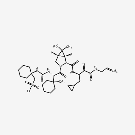 C=CCNC(=O)C(=O)C(CC1CC1)NC(=O)[C@@H]1[C@@H]2[C@H](CN1C(=O)[C@@H](NC(=O)NC1(CS(=O)(=O)CC)CCCCC1)C1(C)CCCCC1)C2(C)C